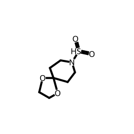 O=[SH](=O)N1CCC2(CC1)OCCO2